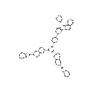 c1ccc(-n2c3ccc(-c4ccc(-c5nc(-c6ccc7cc(-c8nc9ccccc9o8)ccc7c6)nc(-c6ccc7cc(-c8nc9ccccc9o8)ccc7c6)n5)cc4)cc3c3ccc4ccccc4c32)cc1